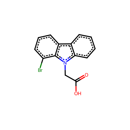 O=C(O)Cn1c2ccccc2c2cccc(Br)c21